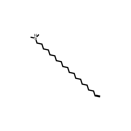 C=CCCCCCCCCCCCCCCCCCC[SiH](C)C